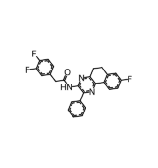 O=C(Cc1ccc(F)c(F)c1)Nc1nc2c(nc1-c1ccccc1)-c1ccc(F)cc1CC2